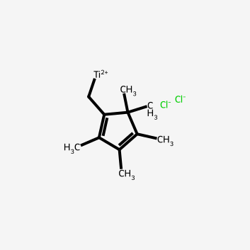 CC1=C(C)C(C)(C)C([CH2][Ti+2])=C1C.[Cl-].[Cl-]